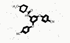 C[C@H]1CC[C@H](C(=O)Nc2cc(Oc3ccc(C#N)cc3)cc(Oc3ccc(C#N)cc3)c2)CC1